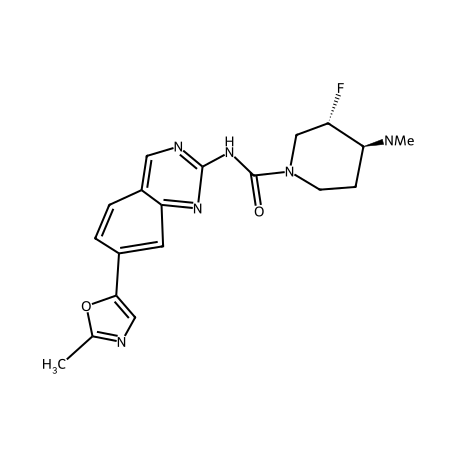 CN[C@H]1CCN(C(=O)Nc2ncc3ccc(-c4cnc(C)o4)cc3n2)C[C@@H]1F